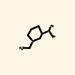 BCN1CCCC(N(C(C)C)C(C)C)C1